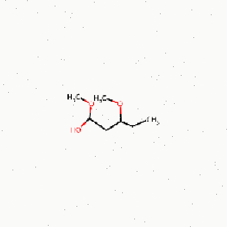 CCC(CC(O)OC)OC